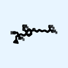 COc1cc(OCCCCCC(C)C)ccc1CC[C@@](N)(CO)CC1CC1